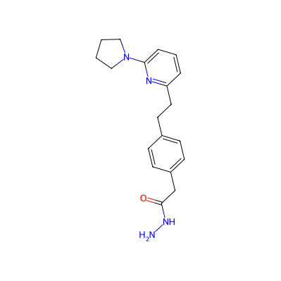 NNC(=O)Cc1ccc(CCc2cccc(N3CCCC3)n2)cc1